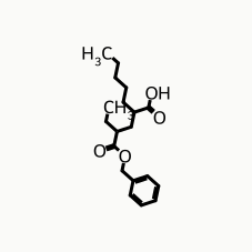 CCCCCC(CC(CC)C(=O)OCc1ccccc1)C(=O)O